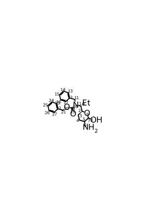 CC[C@H]([C@@H]1CCC(N)C(O)O1)N(Cc1ccccc1)C(=O)OCc1ccccc1